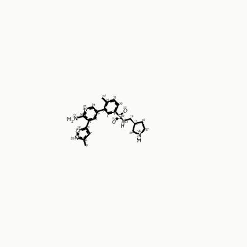 Cc1cc(-c2cc(-c3cc(S(=O)(=O)NC[C@H]4CCNC4)ccc3C)cnc2N)on1